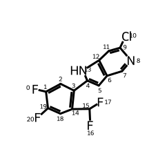 Fc1cc(-c2cc3cnc(Cl)cc3[nH]2)c(C(F)F)cc1F